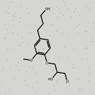 COc1cc(CCCO)ccc1OCC(O)CCl